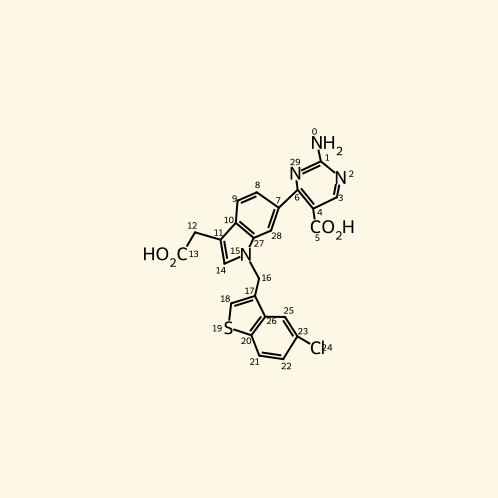 Nc1ncc(C(=O)O)c(-c2ccc3c(CC(=O)O)cn(Cc4csc5ccc(Cl)cc45)c3c2)n1